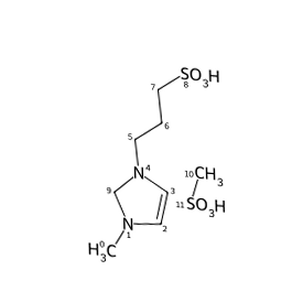 CN1C=CN(CCCS(=O)(=O)O)C1.CS(=O)(=O)O